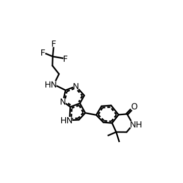 CC1(C)CNC(=O)c2ccc(-c3c[nH]c4nc(NCCC(F)(F)F)ncc34)cc21